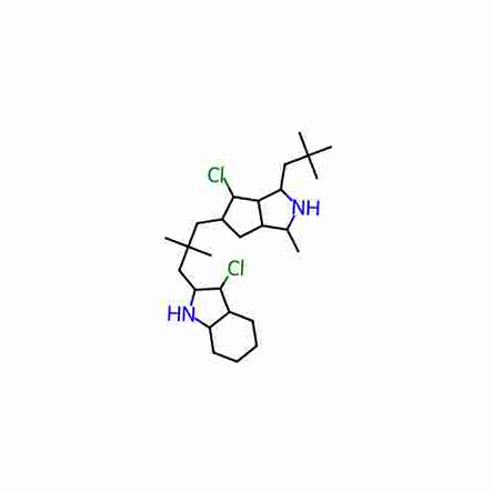 CC1NC(CC(C)(C)C)C2C(Cl)C(CC(C)(C)CC3NC4CCCCC4C3Cl)CC12